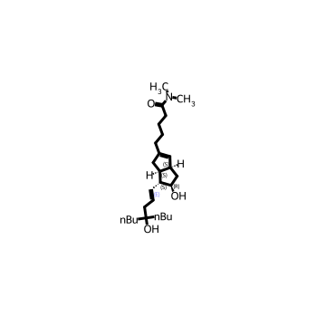 CCCCC(O)(C/C=C/[C@@H]1[C@H]2CC(CCCCC(=O)N(C)C)=C[C@H]2C[C@H]1O)CCCC